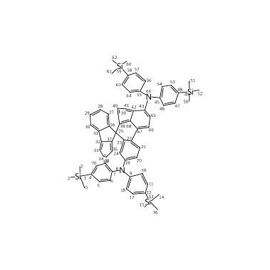 C[Si](C)(C)c1ccc(N(c2ccc([Si](C)(C)C)cc2)c2ccc3c(c2)C2(c4ccccc4-c4ccccc42)c2cccc4c(N(c5ccc([Si](C)(C)C)cc5)c5ccc([Si](C)(C)C)cc5)ccc-3c24)cc1